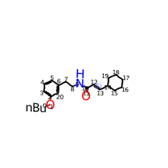 CCCCOc1cccc(CCNC(=O)/C=C/C2CCCCC2)c1